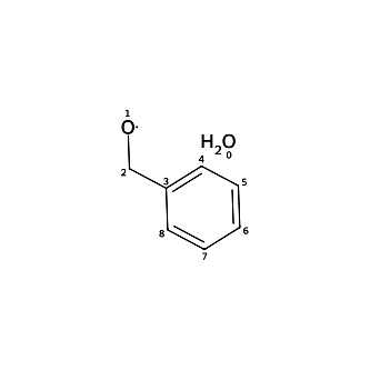 O.[O]Cc1ccccc1